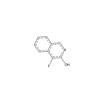 Oc1ncc2ccccc2c1F